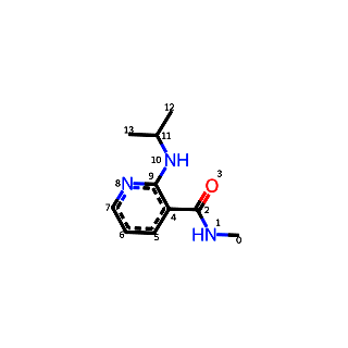 CNC(=O)c1cccnc1NC(C)C